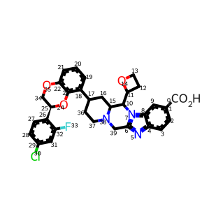 O=C(O)c1ccc2nc3n(c2c1)C(C1CCO1)C1CC(c2cccc4c2O[C@@H](c2ccc(Cl)cc2F)CO4)CCN1C3